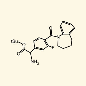 CC(C)(C)OC(=O)C(N)c1ccc(C(=O)N2CCCCc3ccccc32)c(F)c1